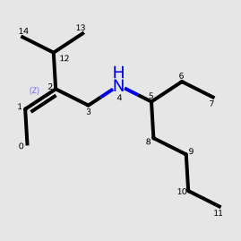 C/C=C(\CNC(CC)CCCC)C(C)C